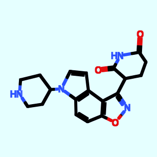 O=C1CCC(c2noc3ccc4c(ccn4C4CCNCC4)c23)C(=O)N1